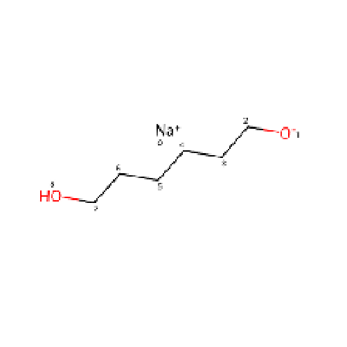 [Na+].[O-]CCCCCCO